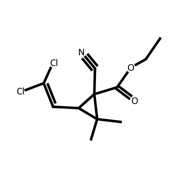 CCOC(=O)C1(C#N)C(C=C(Cl)Cl)C1(C)C